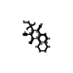 C=CC(C)(C)C1=C(O)C(=O)c2c(ccc3c2CCCC3)C1=O